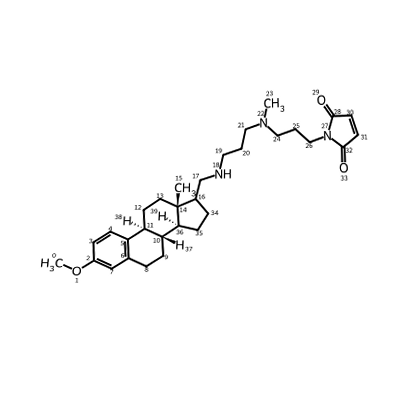 COc1ccc2c(c1)CC[C@@H]1[C@@H]2CC[C@]2(C)C(CNCCCN(C)CCCN3C(=O)C=CC3=O)CC[C@@H]12